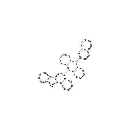 C1=CC2C(c3cc4c5ccccc5oc4c4ccccc34)=C3CCC=CC3C(c3ccc4ccccc4c3)C2C=C1